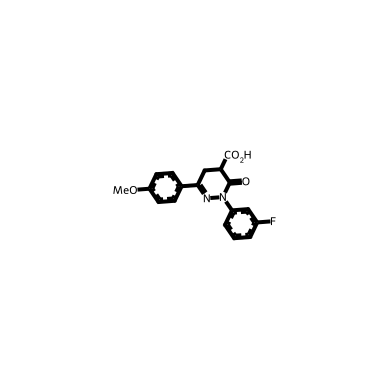 COc1ccc(C2=NN(c3cccc(F)c3)C(=O)C(C(=O)O)C2)cc1